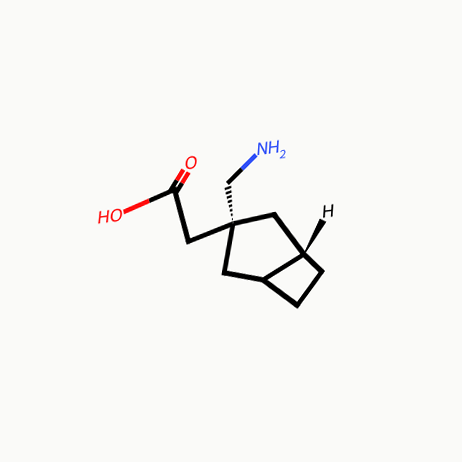 NC[C@@]1(CC(=O)O)CC2CC[C@H]2C1